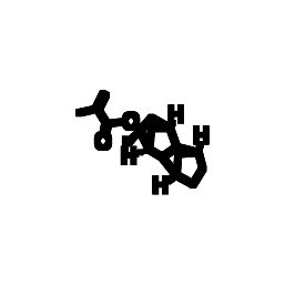 C=C(C)C(=O)O[C@]1(I)C[C@@H]2C[C@H]1C1C2[C@@H]2CC[C@H]1C2